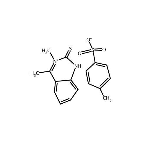 Cc1c2ccccc2[nH]c(=S)[n+]1C.Cc1ccc(S(=O)(=O)[O-])cc1